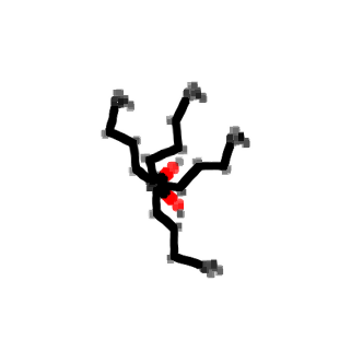 CCC[CH2][Zr](=[O])(=[O])([CH2]CCC)([CH2]CCC)[CH2]CCC